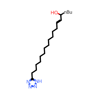 CCCCC(O)C=CCCCCCCCCCCCCc1nnn[nH]1